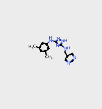 Cc1cc(C)cc(Nc2n[nH]c(NCc3cncnc3)n2)c1